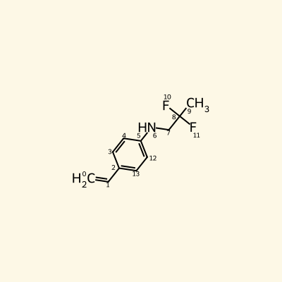 C=Cc1ccc(NCC(C)(F)F)cc1